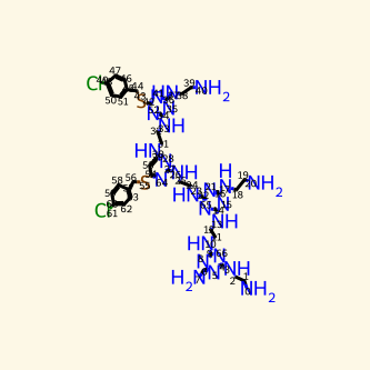 NCCNc1nc(N)nc(NCCNc2nc(NCCN)nc(NCCNc3nc(NCCNc4nc(NCCN)nc(SCc5ccc(Cl)cc5)n4)cc(SCc4ccc(Cl)cc4)n3)n2)n1